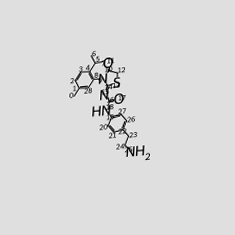 Cc1ccc(C(C)C)c(N2C(=O)CSC2=NC(=O)Nc2ccc(CCN)cc2)c1